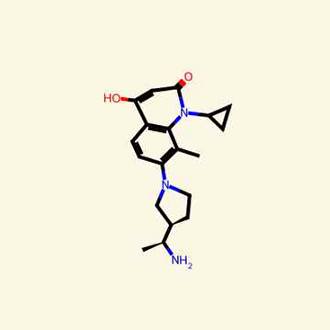 Cc1c(N2CC[C@@H]([C@H](C)N)C2)ccc2c(O)cc(=O)n(C3CC3)c12